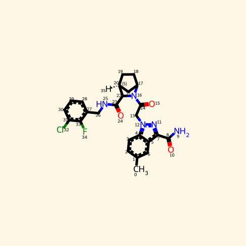 Cc1ccc2c(c1)c(C(N)=O)nn2CC(=O)N1C2CC[C@@H](C2)C1C(=O)NCc1cccc(Cl)c1F